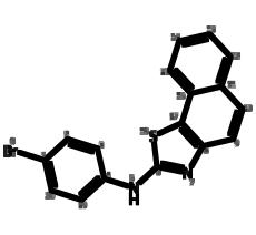 Brc1ccc(Nc2nc3ccc4ccccc4c3s2)cc1